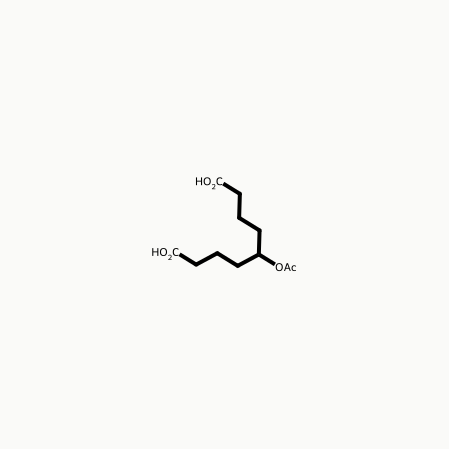 CC(=O)OC(CCCC(=O)O)CCCC(=O)O